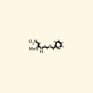 CSC(=C[N+](=O)[O-])NCCSCc1ccccn1